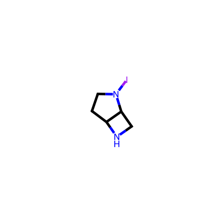 IN1CCC2NCC21